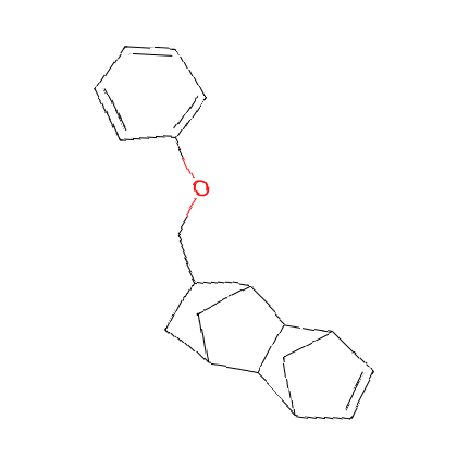 C1=CC2CC1C1C3CC(COc4ccccc4)C(C3)C21